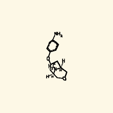 CN1[C@@H]2COC[C@H]1CC(Oc1ccc(N)cc1)C2